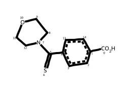 O=C(O)c1ccc(C(=S)N2CCOCC2)cc1